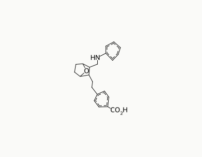 O=C(O)c1ccc(CCC2C3CCC(O3)C2CNc2ccccc2)cc1